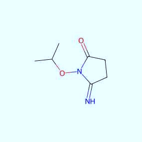 CC(C)ON1C(=N)CCC1=O